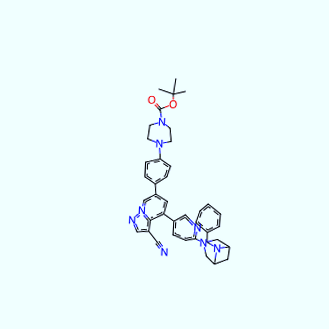 CC(C)(C)OC(=O)N1CCN(c2ccc(-c3cc(-c4ccc(N5CC6CC(C5)N6Cc5ccccc5)nc4)c4c(C#N)cnn4c3)cc2)CC1